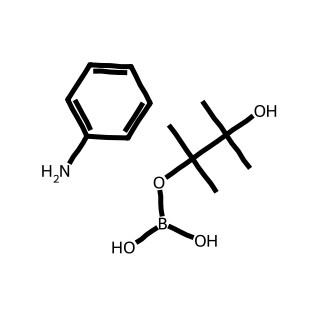 CC(C)(O)C(C)(C)OB(O)O.Nc1ccccc1